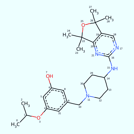 CC(C)Oc1cc(O)cc(CN2CCC(Nc3ncc4c(n3)C(C)(C)OC4(C)C)CC2)c1